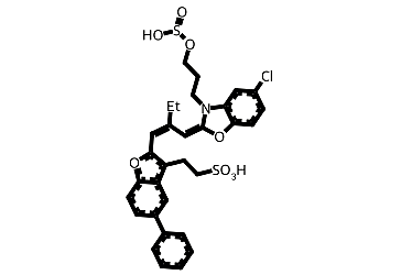 CCC(=Cc1oc2ccc(-c3ccccc3)cc2c1CCS(=O)(=O)O)C=C1Oc2ccc(Cl)cc2N1CCCOS(=O)O